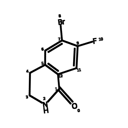 O=C1NCCc2cc(Br)c(F)cc21